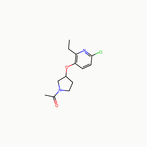 CCc1nc(Cl)ccc1OC1CCN(C(C)=O)C1